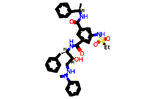 CCS(=O)(=O)Nc1cc(C(=O)N[C@@H](Cc2ccccc2)[C@H](O)CNN(C)c2ccccc2)cc(C(=O)N[C@H](C)c2ccccc2)c1